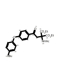 CCCCc1ccc(Oc2ccc(C(=O)CC(NC(C)=O)(C(=O)OCC)C(=O)OCC)cc2)cc1